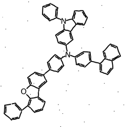 c1ccc(-c2cccc3c2oc2ccc(-c4ccc(N(c5ccc(-c6cccc7ccccc67)cc5)c5ccc6c(c5)c5ccccc5n6-c5ccccc5)cc4)cc23)cc1